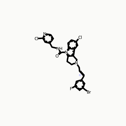 O=C(NCc1ccnc(Cl)c1)n1c2c(c3cc(Cl)ccc31)CN(C/C=C/c1cc(F)cc(Br)c1)CC2